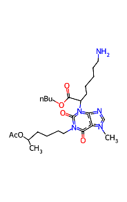 CCCCOC(=O)C(CCCCCN)n1c(=O)n(CCCCC(C)OC(C)=O)c(=O)c2c1ncn2C